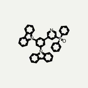 O=P(c1ccccc1)(c1ccccc1)c1cncc(-c2cc(-n3c4ccccc4c4ccccc43)cc(-n3c4ccccc4c4ccccc43)c2)c1